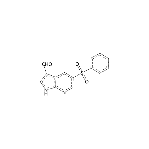 O=Cc1c[nH]c2ncc(S(=O)(=O)c3ccccc3)cc12